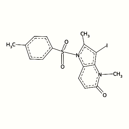 Cc1ccc(S(=O)(=O)n2c(C)c(I)c3c2ccc(=O)n3C)cc1